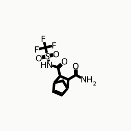 NC(=O)C1C2C=CC(C2)C1C(=O)NS(=O)(=O)C(F)(F)F